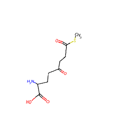 CSC(=O)CCC(=O)CCC(N)C(=O)O